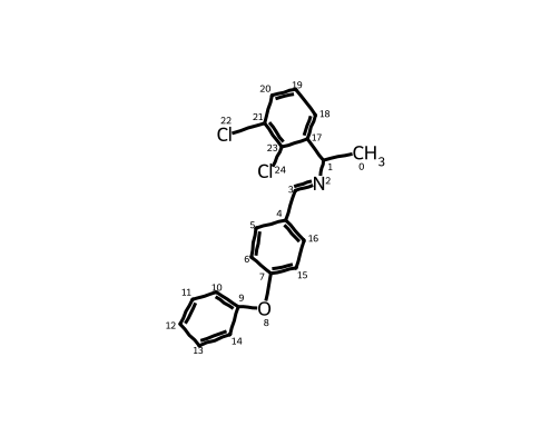 CC(N=Cc1ccc(Oc2ccccc2)cc1)c1cccc(Cl)c1Cl